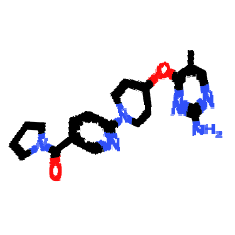 Cc1cnc(N)nc1OC1CCN(c2ccc(C(=O)N3CCCC3)cn2)CC1